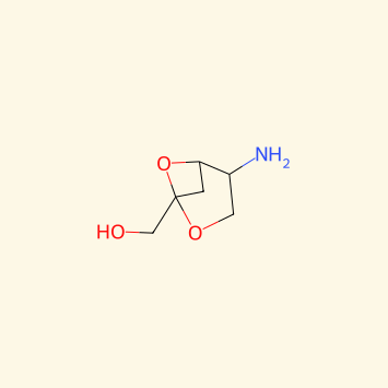 NC1COC2(CO)CC1O2